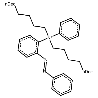 CCCCCCCCCCCCCC[N+](CCCCCCCCCCCCCC)(c1ccccc1)c1ccccc1N=Nc1ccccc1